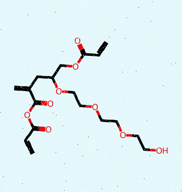 C=CC(=O)OCC(CC(=C)C(=O)OC(=O)C=C)OCCOCCOCCO